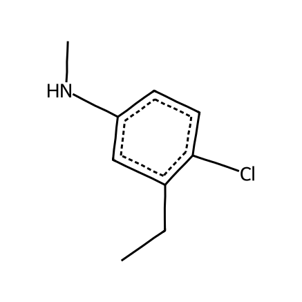 CCc1cc(NC)ccc1Cl